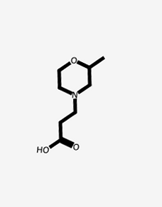 CC1CN(CCC(=O)O)CCO1